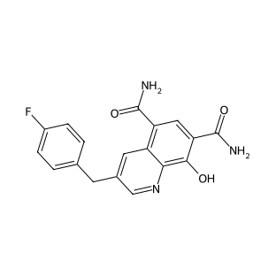 NC(=O)c1cc(C(N)=O)c2cc(Cc3ccc(F)cc3)cnc2c1O